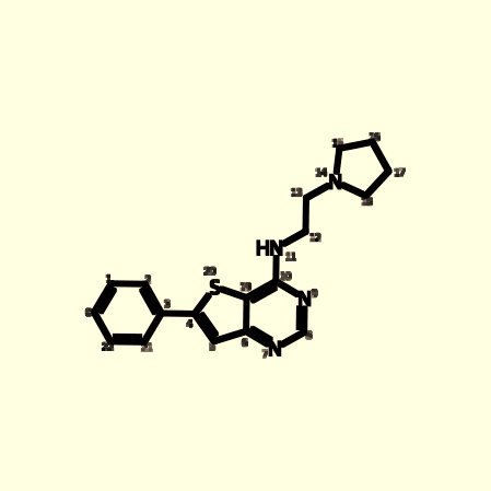 c1ccc(-c2cc3ncnc(NCCN4CCCC4)c3s2)cc1